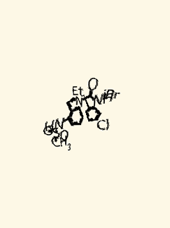 CC[C@](C(=O)NC(C)C)(c1ccc(Cl)cc1)n1ccc2c(NS(C)(=O)=O)cccc21